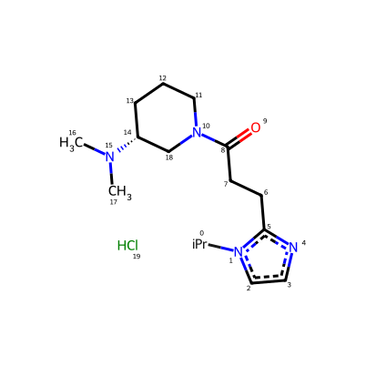 CC(C)n1ccnc1CCC(=O)N1CCC[C@@H](N(C)C)C1.Cl